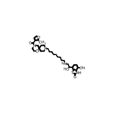 Cc1occc1C(=O)N1CCOC2(CCN(CCCCCCCCCNCC(O)c3ccc(O)c4[nH]c(=O)sc34)CC2)C1